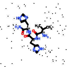 CC(C)[C@H](N)C(=O)N[C@@H](Cc1c[nH]cn1)C(=O)N[C@@H](Cc1c[nH]cn1)C(N)=O